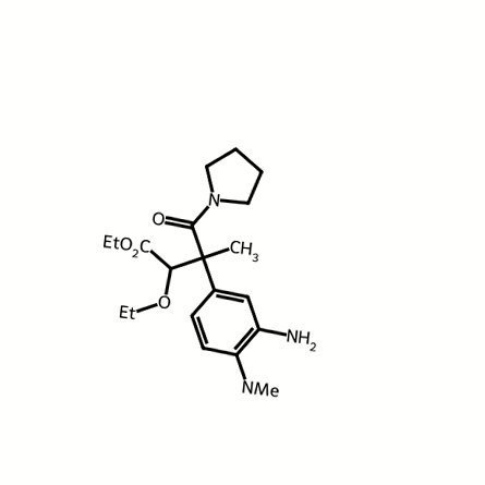 CCOC(=O)C(OCC)C(C)(C(=O)N1CCCC1)c1ccc(NC)c(N)c1